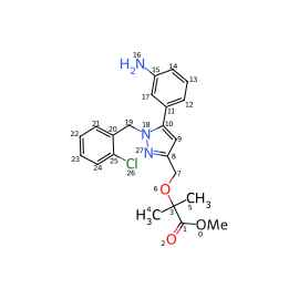 COC(=O)C(C)(C)OCc1cc(-c2cccc(N)c2)n(Cc2ccccc2Cl)n1